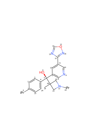 CC(C)c1ccc([C@](O)(c2cncc(-c3ncon3)c2)C2(C)CN(C(C)C)C2)cc1